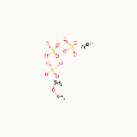 O=S(=O)([O-])[O-].O=S(=O)([O-])[O-].O=S(=O)([O-])[O-].[Al+3].[Al+3].[SiH3]O[SiH3]